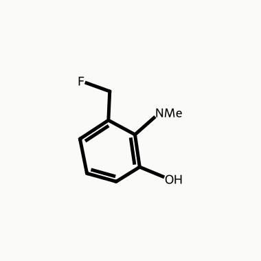 CNc1c(O)cccc1CF